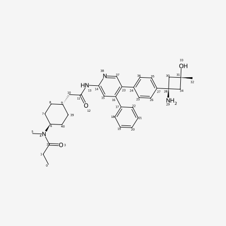 CCC(=O)N(C)[C@H]1CC[C@H](CC(=O)Nc2cc(-c3ccccc3)c(-c3ccc([C@]4(N)C[C@](C)(O)C4)cc3)cn2)CC1